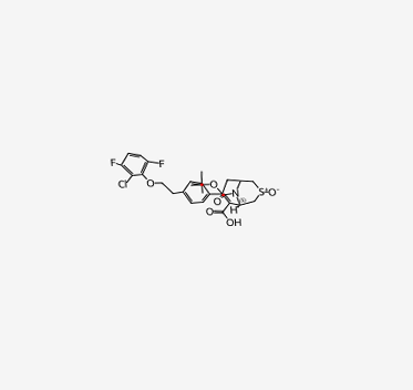 CC(C)(C)OC(=O)N1C2CC(c3ccc(CCOc4c(F)ccc(F)c4Cl)cc3)=C(C(=O)O)[C@H]1C[S+]([O-])C2